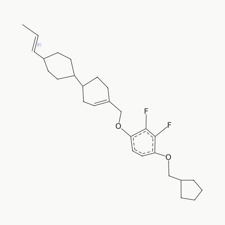 C/C=C/C1CCC(C2CC=C(COc3ccc(OCC4CCCC4)c(F)c3F)CC2)CC1